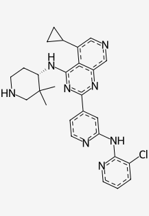 CC1(C)CNCC[C@@H]1Nc1nc(-c2ccnc(Nc3ncccc3Cl)c2)nc2cncc(C3CC3)c12